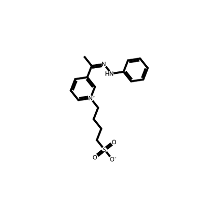 CC(=NNc1ccccc1)c1ccc[n+](CCCCS(=O)(=O)[O-])c1